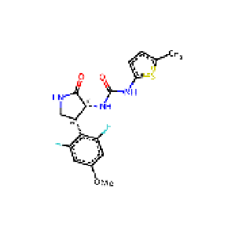 COc1cc(F)c([C@@H]2CNC(=O)[C@@H]2NC(=O)Nc2ccc(C)s2)c(F)c1